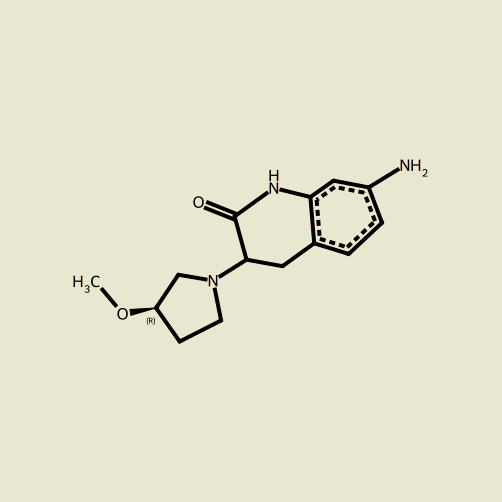 CO[C@@H]1CCN(C2Cc3ccc(N)cc3NC2=O)C1